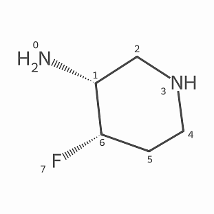 N[C@@H]1CNCC[C@@H]1F